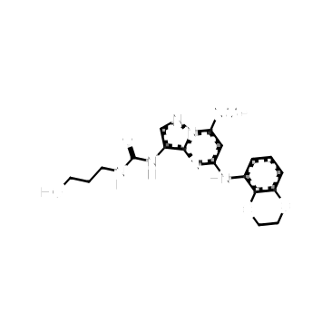 CNc1cc(Nc2cccc3c2OCCO3)nc2c(NC(=O)NCCCO)cnn12